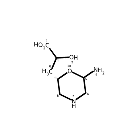 CC(O)C(=O)O.NC1CNCCO1